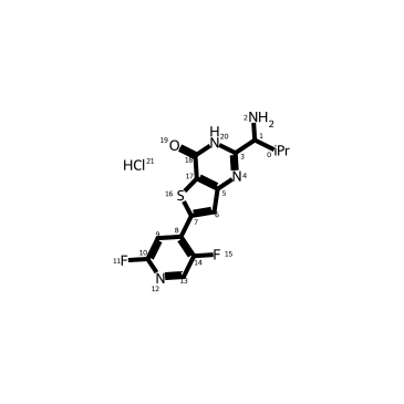 CC(C)C(N)c1nc2cc(-c3cc(F)ncc3F)sc2c(=O)[nH]1.Cl